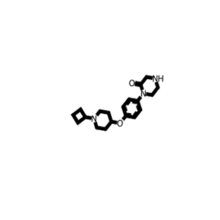 O=C1CNCCN1c1ccc(OC2CCN(C3CCC3)CC2)cc1